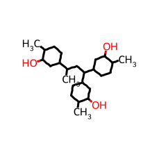 CC1CCC(C(C)CC(C2CCC(C)C(O)C2)C2CCC(C)C(O)C2)CC1O